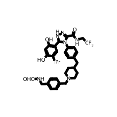 CC(C)c1cc(C2NN=C(C(=O)NCC(F)(F)F)N2c2ccc(CC3CCN(Cc4ccc(CNC=O)cc4)CC3)cc2)c(O)cc1O